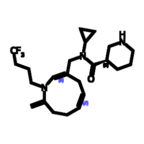 C=C1CC/C=C\C/C(CN(C(=O)[C@@H]2CCCNC2)C2CC2)=C\N1CCCC(F)(F)F